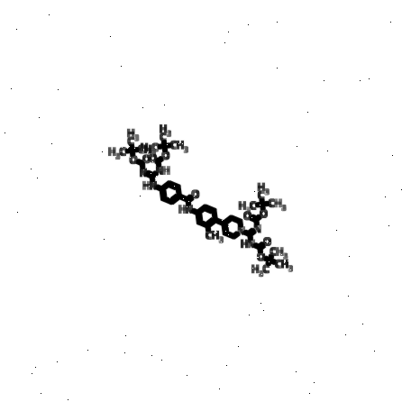 Cc1cc(NC(=O)c2ccc(N/C(=N/C(=O)OC(C)(C)C)NC(=O)OC(C)(C)C)cc2)ccc1C1=CCN(/C(=N\C(=O)OC(C)(C)C)NC(=O)OC(C)(C)C)CC1